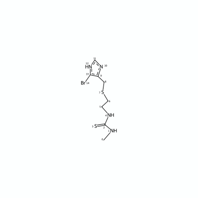 CNC(=S)NCCSCc1nc[nH]c1Br